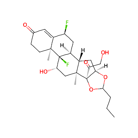 CCCC1O[C@@H]2C[C@H]3[C@@H]4C[C@H](F)C5=CC(=O)CC[C@]5(C)[C@@]4(F)[C@@H](O)C[C@]3(C)[C@]2(C(=O)CO)O1